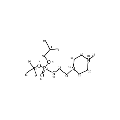 CC(C)COP(=O)(OC(C)(C)C)SCCN1CCN(C)CC1